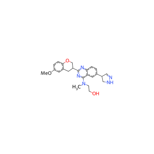 COc1ccc2c(c1)CC(c1nc(N(C)CCO)c3cc(C4C=NNC4)ccc3n1)CO2